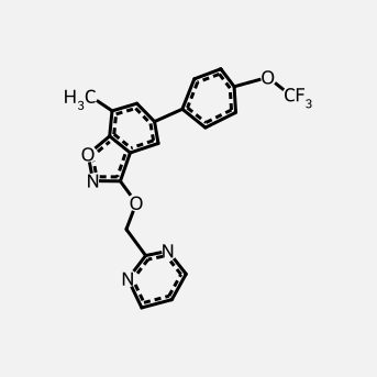 Cc1cc(-c2ccc(OC(F)(F)F)cc2)cc2c(OCc3ncccn3)noc12